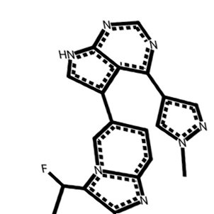 CC(F)c1cnc2ccc(-c3c[nH]c4ncnc(-c5cnn(C)c5)c34)cn12